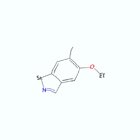 CCOc1cc2cn[se]c2cc1C